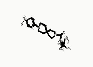 CC(C)(C)OC(=O)N1CCC2(CC1)CCN(c1ccc([N+](=O)[O-])cn1)CC2